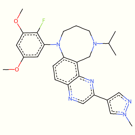 COc1cc(OC)c(F)c(N2CCCN(C(C)C)Cc3c2ccc2ncc(-c4cnn(C)c4)nc32)c1